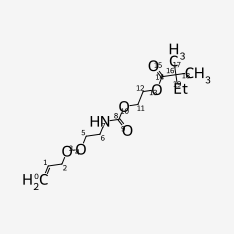 C=CCOOCCNC(=O)OCCOC(=O)C(C)(C)CC